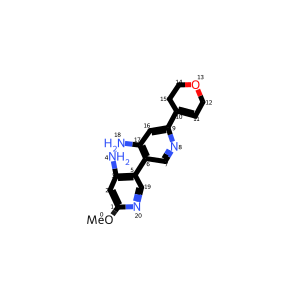 COc1cc(N)c(-c2cnc(C3=CCOCC3)cc2N)cn1